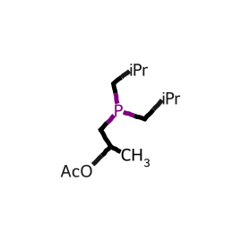 CC(=O)OC(C)CP(CC(C)C)CC(C)C